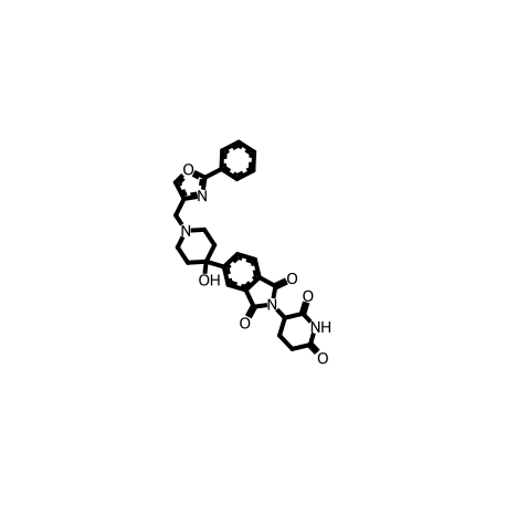 O=C1CCC(N2C(=O)c3ccc(C4(O)CCN(Cc5coc(-c6ccccc6)n5)CC4)cc3C2=O)C(=O)N1